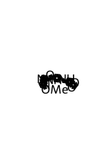 COc1ccc2nccc(NC(=O)[C@H]3CC[C@H](NCc4ccc5c(c4)OCCO5)CC3)c2n1